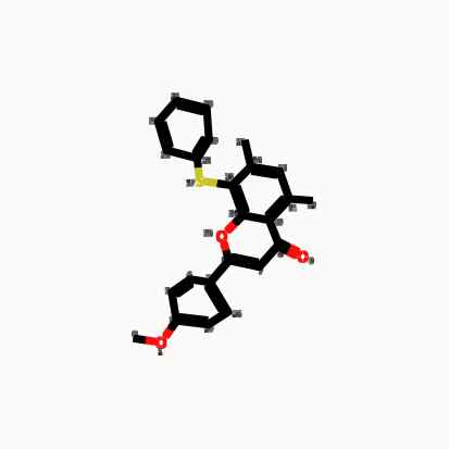 COc1ccc(-c2cc(=O)c3c(C)cc(C)c(Sc4ccccc4)c3o2)cc1